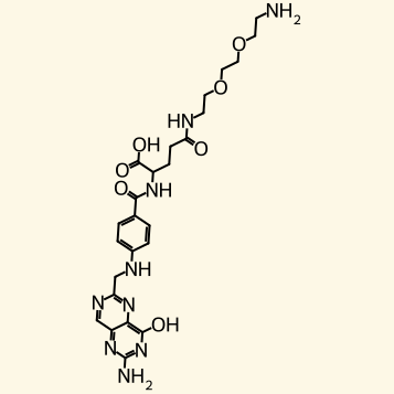 NCCOCCOCCNC(=O)CCC(NC(=O)c1ccc(NCc2ncc3nc(N)nc(O)c3n2)cc1)C(=O)O